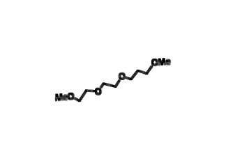 COCCCOCCOCCOC